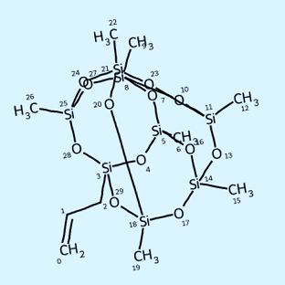 C=CC[Si]12O[Si]3(C)O[Si]4(C)O[Si]5(C)O[Si](C)(O3)O[Si](C)(O[Si](C)(O5)O[Si](C)(O4)O1)O2